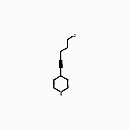 ClCCCC#CC1CCNCC1